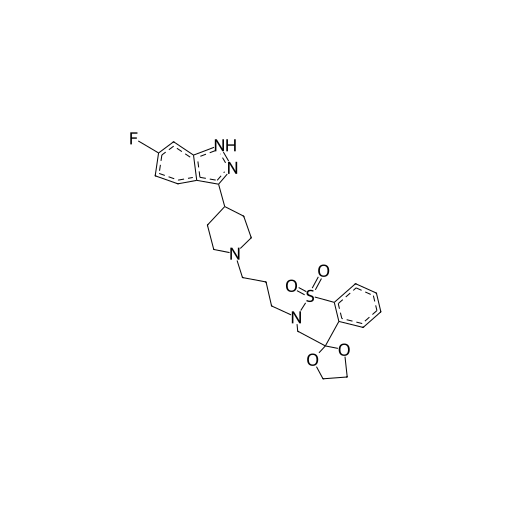 O=S1(=O)c2ccccc2C2(CN1CCCN1CCC(c3n[nH]c4cc(F)ccc34)CC1)OCCO2